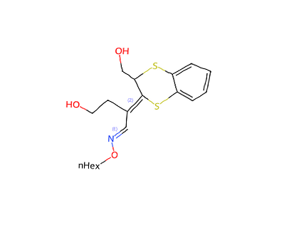 CCCCCCO/N=C/C(CCO)=C1\Sc2ccccc2SC1CO